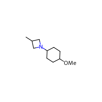 COC1CCC(N2CC(C)C2)CC1